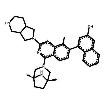 Oc1cc(-c2ccc3c(N4C[C@H]5CC[C@@H](C4)N5)nc(N4CC5CCNCC5C4)nc3c2F)c2ccccc2c1